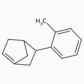 Cc1ccccc1C1CC2=CCC1C2